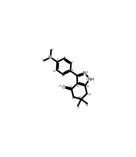 CN(C)c1ccc(-c2n[nH]c3c2C(=O)CC(C)(C)C3)cc1